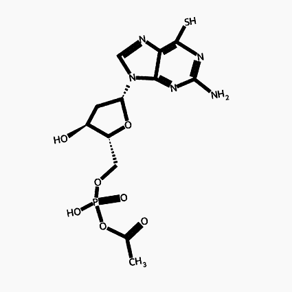 CC(=O)OP(=O)(O)OC[C@H]1O[C@@H](n2cnc3c(S)nc(N)nc32)C[C@@H]1O